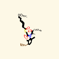 CCCCCCCCCCCCCCCC(=O)SCC(=O)N(c1c(C)ccc(Br)c1C)[C@@H](C)C(=O)OC